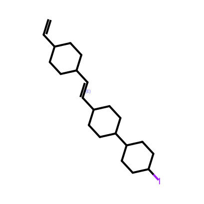 C=CC1CCC(/C=C/C2CCC(C3CCC(I)CC3)CC2)CC1